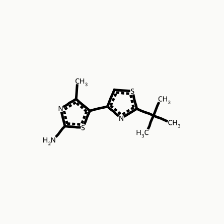 Cc1nc(N)sc1-c1csc(C(C)(C)C)n1